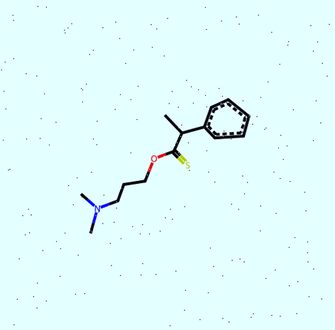 CC(C(=S)OCCCN(C)C)c1ccccc1